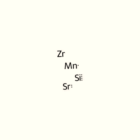 [Mn].[Si].[Sr].[Zr]